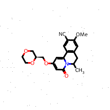 COc1cc2c(cc1C#N)-c1cc(OC[C@@H]3COCCO3)cc(=O)n1C(C)C2